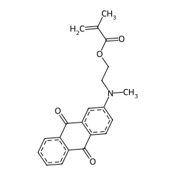 C=C(C)C(=O)OCCN(C)c1ccc2c(c1)C(=O)c1ccccc1C2=O